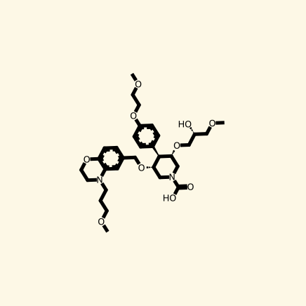 COCCCN1CCOc2ccc(CO[C@H]3CN(C(=O)O)C[C@@H](OC[C@H](O)COC)[C@@H]3c3ccc(OCCOC)cc3)cc21